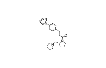 O=C(C=Cc1ccc(-n2cncn2)cc1)N1CCCC1CN1CCCC1